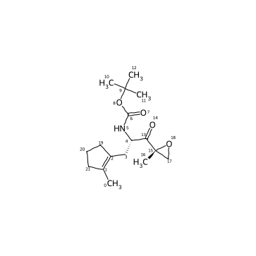 CC1=C(C[C@H](NC(=O)OC(C)(C)C)C(=O)[C@@]2(C)CO2)CCC1